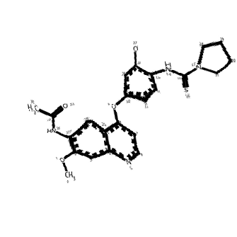 COc1cc2nccc(Oc3ccc(NC(=S)N4CCCC4)c(Cl)c3)c2cc1NC(C)=O